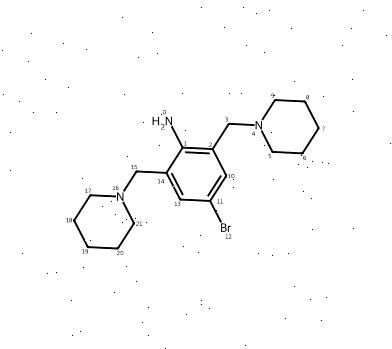 Nc1c(CN2CCCCC2)cc(Br)cc1CN1CCCCC1